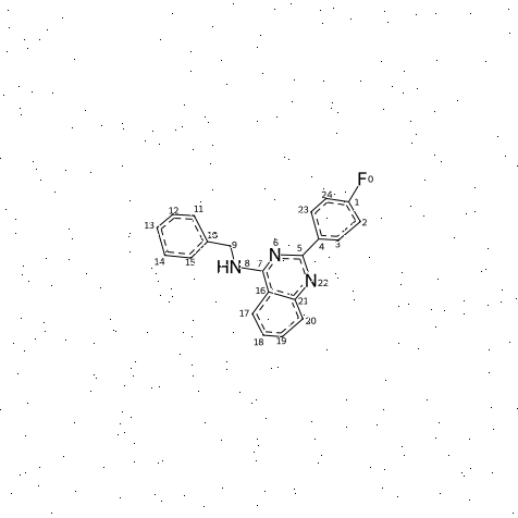 Fc1ccc(-c2nc(NCc3ccccc3)c3ccccc3n2)cc1